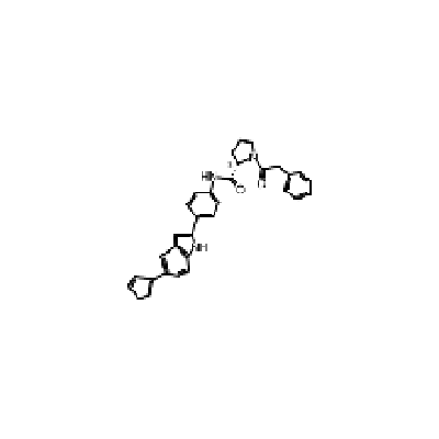 O=C(Nc1ccc(-c2cc3cc(C4=CCC=C4)ccc3[nH]2)cc1)[C@@H]1CCCN1C(=O)Cc1ccccc1